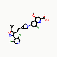 COc1cc(C(=O)O)nc2c(F)cc(N3CC4C(/C=C/c5c(-c6c(Cl)cncc6Cl)noc5C5CC5)C4C3)cc12